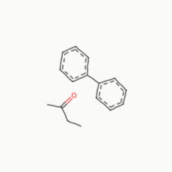 CCC(C)=O.c1ccc(-c2ccccc2)cc1